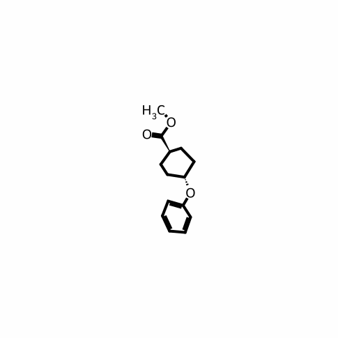 COC(=O)[C@H]1CC[C@H](Oc2ccccc2)CC1